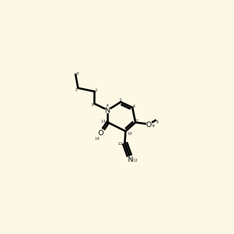 CCCCn1ccc(OC)c(C#N)c1=O